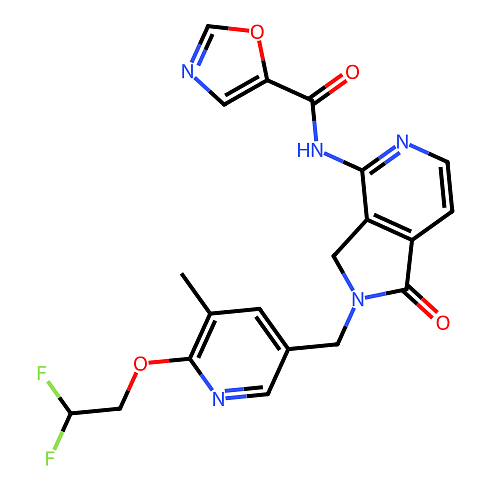 Cc1cc(CN2Cc3c(ccnc3NC(=O)c3cnco3)C2=O)cnc1OCC(F)F